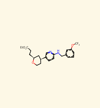 CCOC(=O)CC[C@H]1C[C@@H](c2ccc(NCc3cccc(OC(F)(F)F)c3)nc2)CCO1